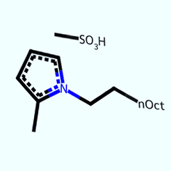 CCCCCCCCCCn1cccc1C.CS(=O)(=O)O